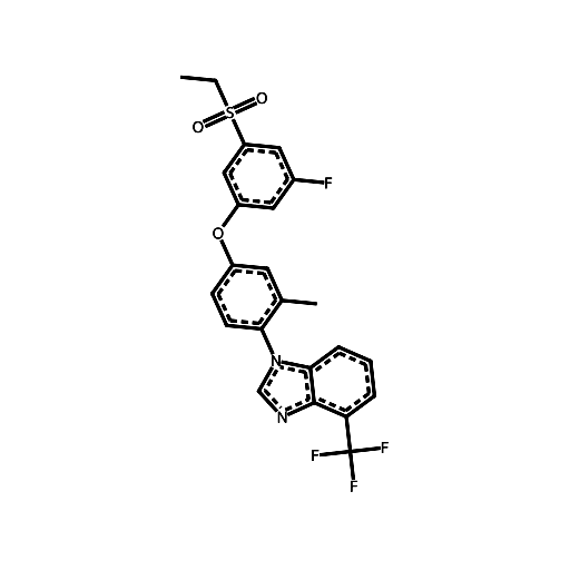 CCS(=O)(=O)c1cc(F)cc(Oc2ccc(-n3cnc4c(C(F)(F)F)cccc43)c(C)c2)c1